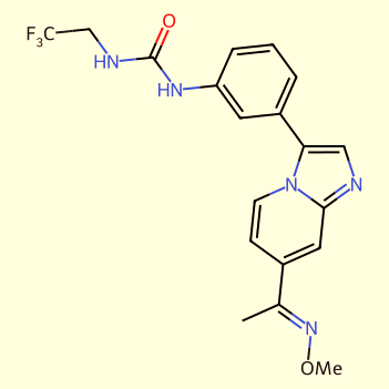 CON=C(C)c1ccn2c(-c3cccc(NC(=O)NCC(F)(F)F)c3)cnc2c1